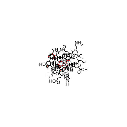 CC[C@H](C)[C@H](NC(=O)[C@H](CCCCN)NC(=O)[C@H](CCC(N)=O)NC(=O)[C@H](C)NC(=O)[C@H](CCC(=O)O)NC(=O)[C@H](Cc1ccccc1)NC(=O)[C@@H](NC(=O)[C@H](CC(=O)O)NC(=O)[C@H](CC(N)=O)NC(=O)[C@H](CC(C)C)NC(=O)CN)[C@@H](C)CC)C(=O)N[C@@H](CCC(=O)O)C(=O)N[C@@H](Cc1c[nH]c2ccccc12)C(=O)N[C@@H](Cc1c[nH]cn1)C(=O)N[C@@H](CCC(=O)O)C(=O)O